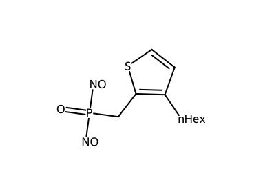 CCCCCCc1ccsc1CP(=O)(N=O)N=O